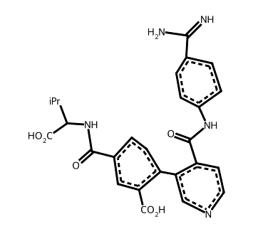 CC(C)C(NC(=O)c1ccc(-c2cnccc2C(=O)Nc2ccc(C(=N)N)cc2)c(C(=O)O)c1)C(=O)O